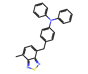 Cc1ccc(Cc2ccc(N(c3ccccc3)c3ccccc3)cc2)c2nsnc12